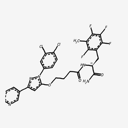 Cc1c(F)c(F)c(F)c(C[C@H](NC(=O)CCCOc2cc(-c3cccnc3)nn2-c2ccc(Cl)c(Cl)c2)C(N)=O)c1F